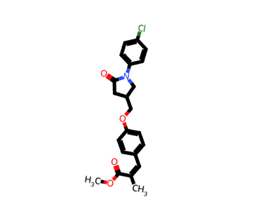 COC(=O)C(C)=Cc1ccc(OCC2CC(=O)N(c3ccc(Cl)cc3)C2)cc1